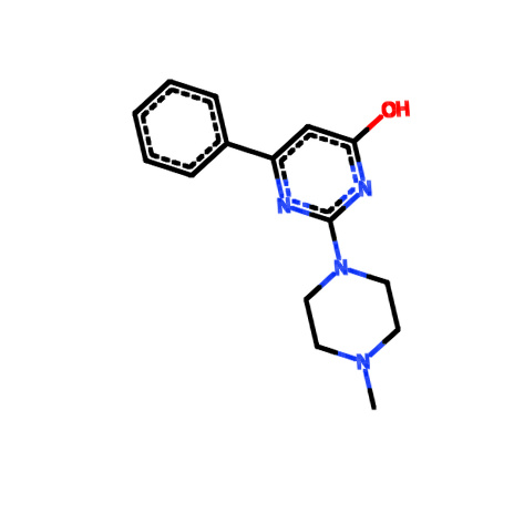 CN1CCN(c2nc(O)cc(-c3ccccc3)n2)CC1